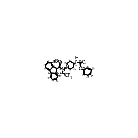 CCCCc1cccc2c1C(C(=O)N(CC(F)(F)F)N1CCC(NC(=O)Oc3ccccc3)CC1)c1ccccc1-2